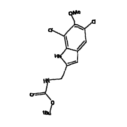 COc1c(Cl)cc2cc(CNC(=O)OC(C)(C)C)[nH]c2c1Cl